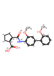 COc1cc(-c2ccccc2OC)ccc1NC(=O)C1=C(C(=O)O)CCC1